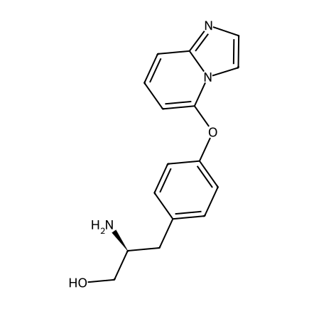 N[C@H](CO)Cc1ccc(Oc2cccc3nccn23)cc1